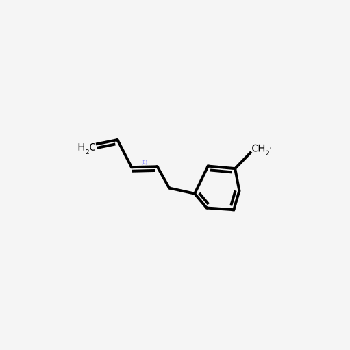 [CH2]c1cccc(C/C=C/C=C)c1